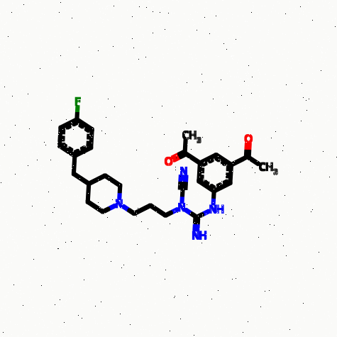 CC(=O)c1cc(NC(=N)N(C#N)CCCN2CCC(Cc3ccc(F)cc3)CC2)cc(C(C)=O)c1